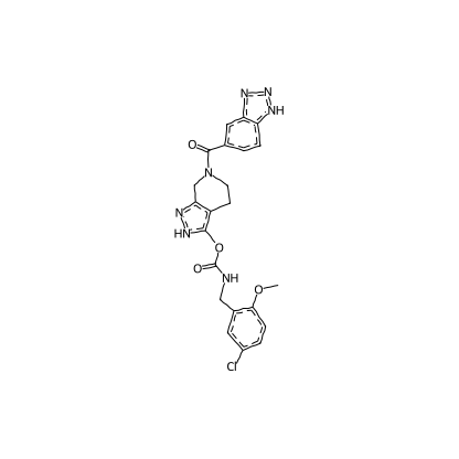 COc1ccc(Cl)cc1CNC(=O)Oc1[nH]nc2c1CCN(C(=O)c1ccc3[nH]nnc3c1)C2